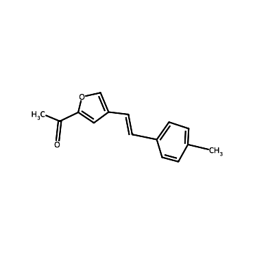 CC(=O)c1cc(C=Cc2ccc(C)cc2)co1